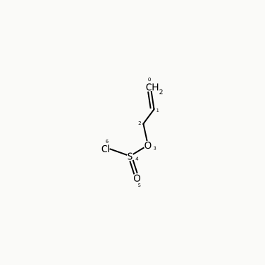 C=CCOS(=O)Cl